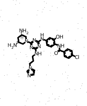 N[C@@H]1C[C@H](N)CN(c2nc(NCCCn3ccnc3)nc(Nc3ccc(NC(=O)c4ccc(Cl)cc4)c(O)c3)n2)C1